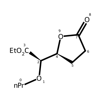 CCCO[C@@H](C(=O)OCC)[C@@H]1CCC(=O)O1